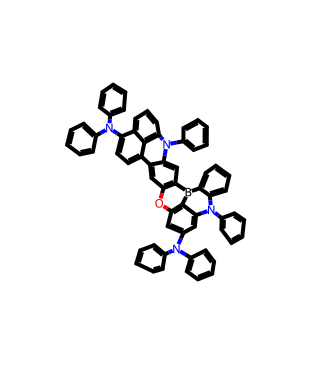 c1ccc(N(c2ccccc2)c2cc3c4c(c2)N(c2ccccc2)c2ccccc2B4c2cc4c(cc2O3)-c2ccc(N(c3ccccc3)c3ccccc3)c3cccc(c23)N4c2ccccc2)cc1